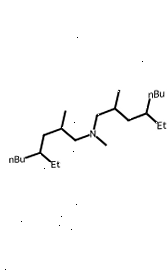 CCCCC(CC)CC(C)CN(C)CC(C)CC(CC)CCCC